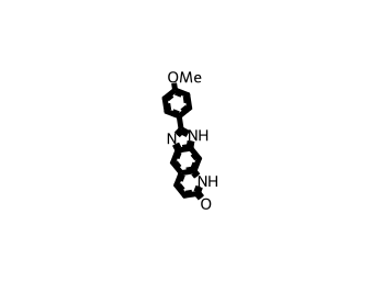 COc1ccc(-c2nc3cc4ccc(=O)[nH]c4cc3[nH]2)cc1